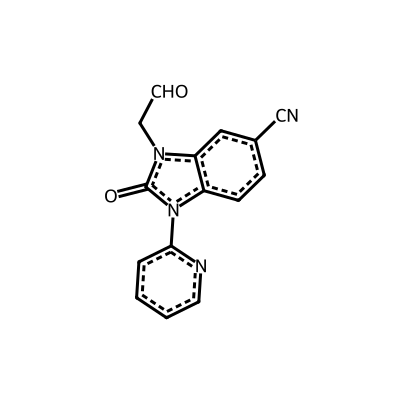 N#Cc1ccc2c(c1)n(CC=O)c(=O)n2-c1ccccn1